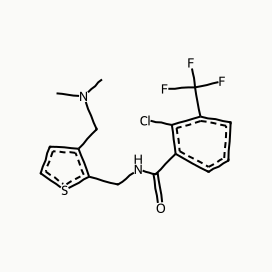 CN(C)Cc1ccsc1CNC(=O)c1cccc(C(F)(F)F)c1Cl